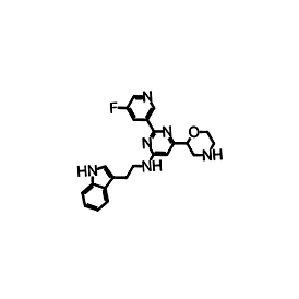 Fc1cncc(-c2nc(NCCc3c[nH]c4ccccc34)cc(C3CNCCO3)n2)c1